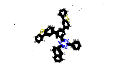 c1ccc(-c2nc(-c3cc(-c4ccc5sc6ccccc6c5c4)cc(-c4ccc5sc6ccccc6c5c4)c3)nc(-c3ccc4ccccc4c3)n2)cc1